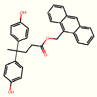 CC(CCC(=O)OCc1c2ccccc2cc2ccccc12)(c1ccc(O)cc1)c1ccc(O)cc1